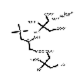 C[N+](C)(C)C[C@@H](O)CC(=O)[O-].O=C([O-])CC(O)(CC(=O)[O-])C(=O)[O-].O=C([O-])CC(O)(CC(=O)[O-])C(=O)[O-].[Mg+2].[Mg+2].[Mg+2]